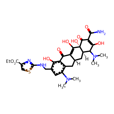 CCOC(=O)c1csc(NCc2cc(N(C)C)c3c(c2O)C(=O)C2=C(O)[C@@]4(O)C(=O)C(C(N)=O)=C(O)C(N(C)C)[C@H]4C[C@H]2C3)n1